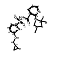 CC1CN(c2ncccc2C(=O)NS(=O)(=O)c2cccc(OCC3CC3)n2)C(C)(C)C1